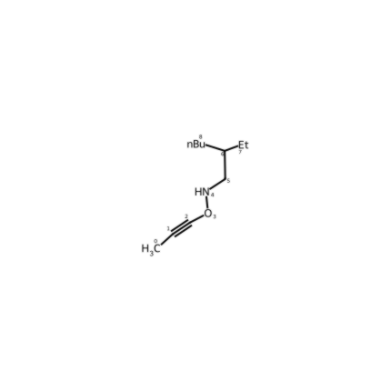 CC#CONCC(CC)CCCC